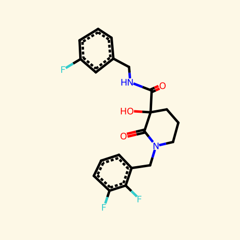 O=C(NCc1cccc(F)c1)C1(O)CCCN(Cc2cccc(F)c2F)C1=O